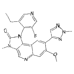 CCc1cncc(F)c1-n1c(=O)n(C)c2cnc3cc(OC)c(-c4cnn(C)n4)cc3c21